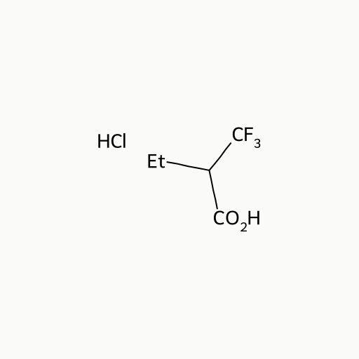 CCC(C(=O)O)C(F)(F)F.Cl